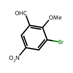 COc1c(Br)cc([N+](=O)[O-])cc1C=O